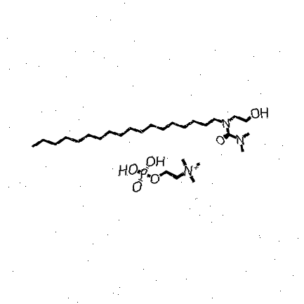 CCCCCCCCCCCCCCCCCCN(CCO)C(=O)N(C)C.C[N+](C)(C)CCOP(=O)(O)O